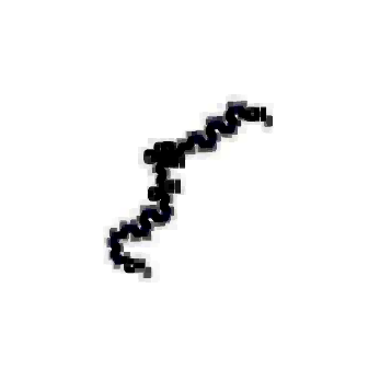 CC/C=C\C/C=C\C/C=C\C/C=C\C/C=C\C/C=C\CCC(=O)NCCC[C@H](NC(=O)CCC/C=C\C/C=C\C/C=C\C/C=C\C/C=C\CC)C(=O)O